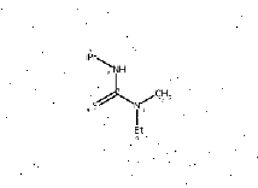 [CH2]CN(C)C(=S)NC(C)C